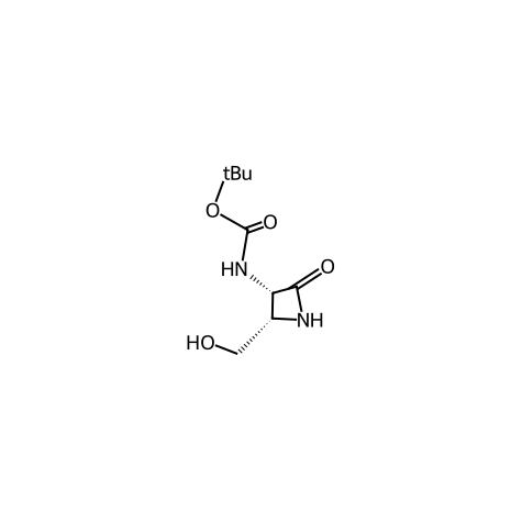 CC(C)(C)OC(=O)N[C@@H]1C(=O)N[C@@H]1CO